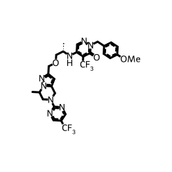 COc1ccc(Cn2ncc(N[C@@H](C)COCc3cc4n(n3)C(C)CN(c3ncc(C(F)(F)F)cn3)C4)c(C(F)(F)F)c2=O)cc1